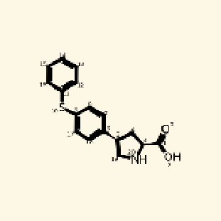 O=C(O)[C@@H]1C[C@H](c2ccc(Sc3ccccc3)cc2)CN1